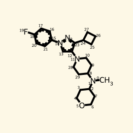 CN(C1CCOCC1)C1CCN(c2cn(-c3ccc(F)cc3)nc2C2CCC2)CC1